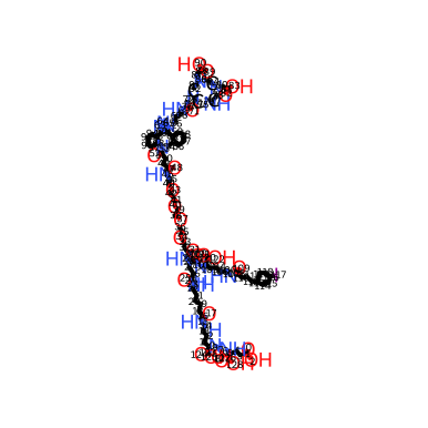 O=C(O)CCC(NC(=O)NC(CCCCNC(=O)CCCCCNC(=O)CCC(NC(=O)CCOCCOCCOCCOCCNC(=O)CCC(=O)N1Cc2ccccc2-c2c(nnn2CCCNC(=O)CN2CCNCCN(CC(=O)O)CCN(CC(=O)O)CC2)-c2ccccc21)C(=O)NC(CCCCNC(=O)CCCc1ccc(I)cc1)C(=O)O)C(=O)O)C(=O)O